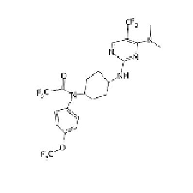 CN(C)c1nc(NC2CCC(N(C(=O)C(F)(F)F)c3ccc(OC(F)(F)F)cc3)CC2)ncc1C(F)(F)F